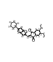 CCc1cc2c(cc1CC)C(=O)C(=Cc1cc3sc(C4CCCCC4)cc3o1)C2=O